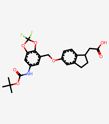 CC(C)(C)OC(=O)Nc1cc(COc2ccc3c(c2)CCC3CC(=O)O)c2c(c1)OC(F)(F)O2